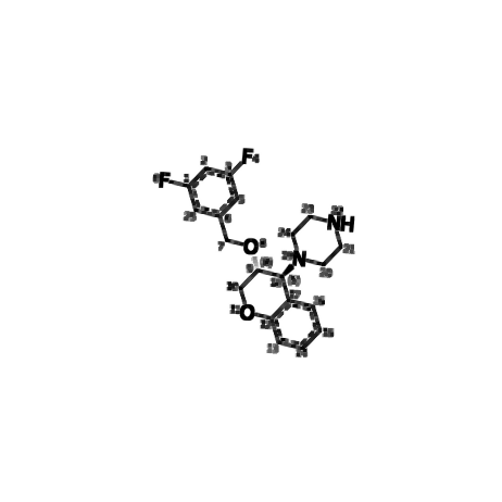 Fc1cc(F)cc(CO[C@H]2COc3ccccc3[C@@H]2N2CCNCC2)c1